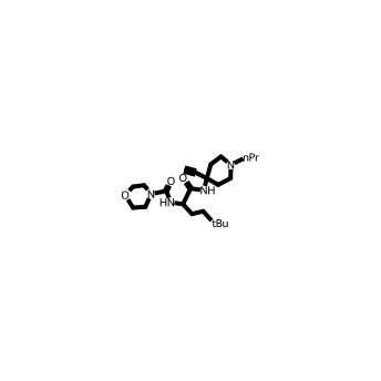 C#CC1(NC(=O)C(CCC(C)(C)C)NC(=O)N2CCOCC2)CCN(CCC)CC1